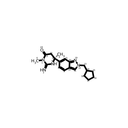 CN1C(=N)N[C@](C)(c2ccc3cn(CC4CCCC4)nc3c2)CC1=O